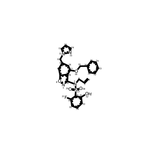 C=CCN(c1noc2cc(Cn3cccn3)cc(OCc3ccccc3)c12)S(=O)(=O)c1c(O)cccc1F